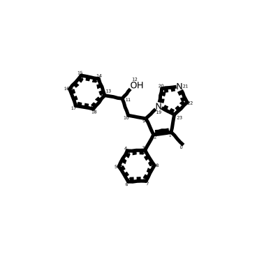 CC1=C(c2ccccc2)C(CC(O)c2ccccc2)n2cncc21